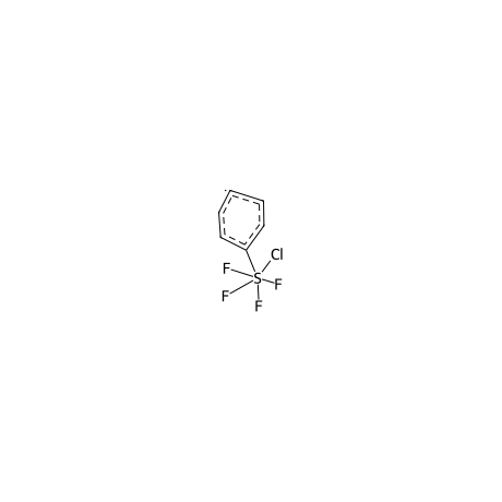 FS(F)(F)(F)(Cl)c1cc[c]cc1